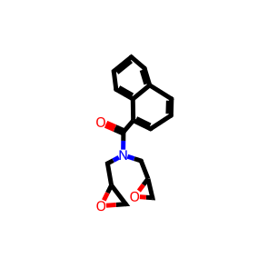 O=C(c1cccc2ccccc12)N(CC1CO1)CC1CO1